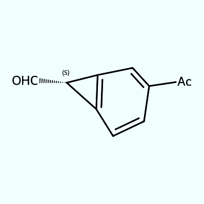 CC(=O)c1ccc2c(c1)[C@H]2C=O